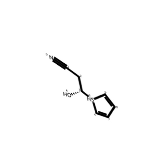 N#CC[C@@H](O)[SH]1C=CC=C1